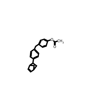 CC(=O)Oc1ccc(Cc2ccc(C3CC4C=CC3C4)cc2)cc1